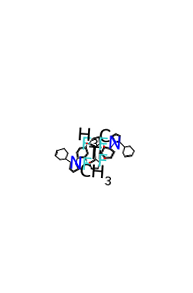 Cc1ccc(C2CC=CCC2)n1-c1ccc(F)[c]([Ti]([C]2=CC=CC2)([C]2=CC=CC2)[c]2c(F)ccc(-n3c(C)ccc3C3CC=CCC3)c2F)c1F